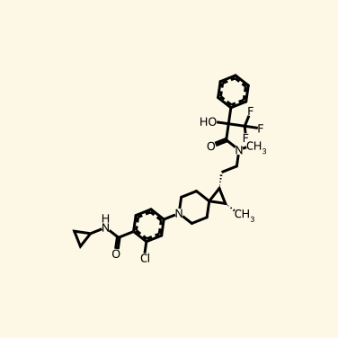 C[C@H]1[C@@H](CCN(C)C(=O)C(O)(c2ccccc2)C(F)(F)F)C12CCN(c1ccc(C(=O)NC3CC3)c(Cl)c1)CC2